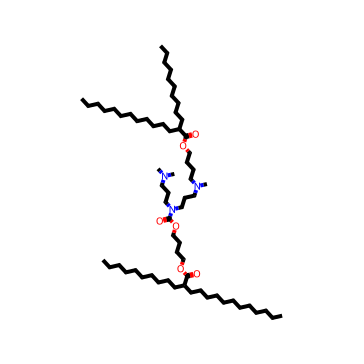 CCCCCCCCCCCCC(CCCCCCCCCC)C(=O)OCCCCOC(=O)N(CCCN(C)C)CCCN(C)CCCCOC(=O)C(CCCCCCCCCC)CCCCCCCCCCCC